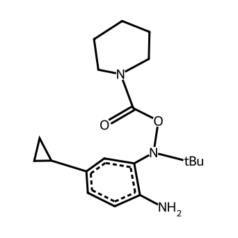 CC(C)(C)N(OC(=O)N1CCCCC1)c1cc(C2CC2)ccc1N